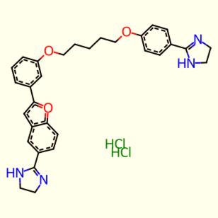 Cl.Cl.c1cc(OCCCCCOc2ccc(C3=NCCN3)cc2)cc(-c2cc3cc(C4=NCCN4)ccc3o2)c1